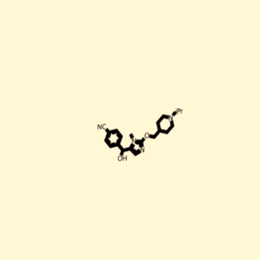 CC(C)N1CCC(COc2ncc(C(O)c3ccc(C#N)cc3)n2C)CC1